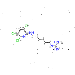 CNC(=NCCCCCCNc1nc(Cl)c(Cl)cc1Cl)NC